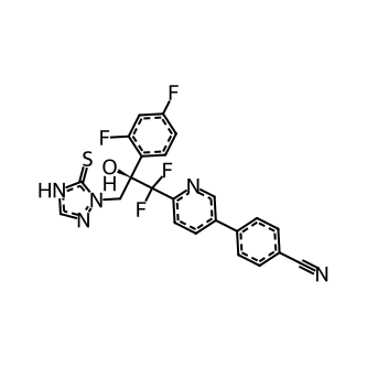 N#Cc1ccc(-c2ccc(C(F)(F)[C@](O)(Cn3nc[nH]c3=S)c3ccc(F)cc3F)nc2)cc1